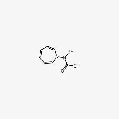 O=C(O)N(S)N1C=CC=CC=C1